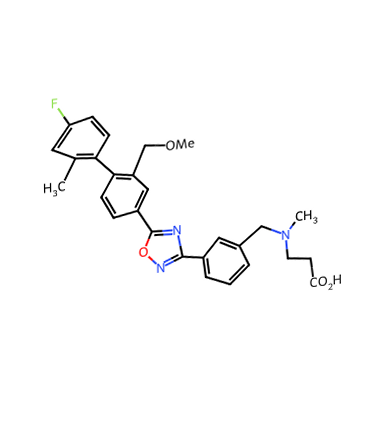 COCc1cc(-c2nc(-c3cccc(CN(C)CCC(=O)O)c3)no2)ccc1-c1ccc(F)cc1C